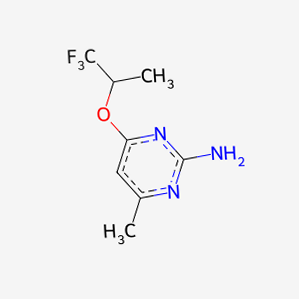 Cc1cc(OC(C)C(F)(F)F)nc(N)n1